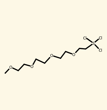 COCCOCCOCCOCCS(Cl)(Cl)Cl